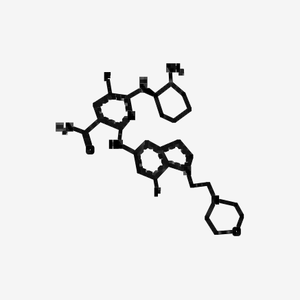 NC(=O)c1cc(F)c(N[C@@H]2CCCCC2N)nc1Nc1cc(F)c2c(ccn2CCN2CCOCC2)c1